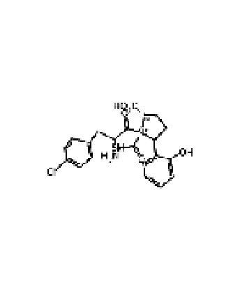 NCC(=O)[N+]1(C(=O)C(S)Cc2ccc(Cl)cc2)C(c2ccccc2O)CC[C@H]1C(=O)O